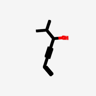 C=CC#CC(O)C(C)C